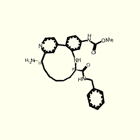 COC(=O)Nc1ccc2c(c1)N[C@@H](C(=O)NCc1ccccc1)CCCCC[C@H](N)c1cc-2ccn1